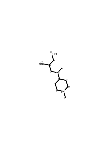 CN1CCC(N(C)CC(CC=O)C(C)(C)C)CC1